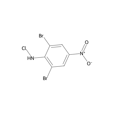 O=[N+]([O-])c1cc(Br)c(NCl)c(Br)c1